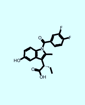 CC[C@H](C(=O)O)c1c(C)n(C(=O)c2ccc(F)c(F)c2)c2ccc(O)cc12